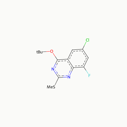 CSc1nc(OC(C)(C)C)c2cc(Cl)cc(F)c2n1